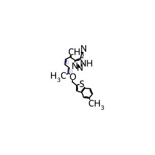 C=C(/C=C\C=C(/C)OCc1cc2cc(C)ccc2s1)c1nn[nH]c1C#N